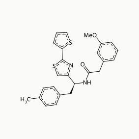 COc1cccc(CC(=O)N[C@@H](Cc2ccc(C)cc2)c2csc(-c3cccs3)n2)c1